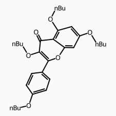 CCCCOc1ccc(-c2oc3cc(OCCCC)cc(OCCCC)c3c(=O)c2OCCCC)cc1